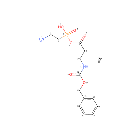 NCCP(=O)(O)OC(=O)CCNC(=O)OCc1ccccc1.[Zn]